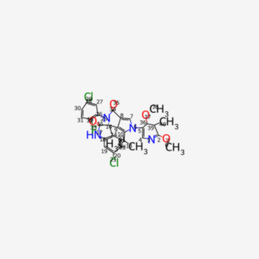 COC1=NC=C(n2cc3c(c2C(C)C)[C@@]2(C(=O)Nc4cc(Cl)ccc42)N(c2cc(Cl)ccc2F)C3=O)C(OC)C1C